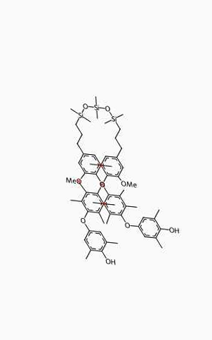 COc1cc(CCC[Si](C)(C)O[Si](C)(C)O[Si](C)(C)CCCc2cc(C)c(Oc3c(C)c(C)c(Oc4cc(C)c(O)c(C)c4)c(C)c3C)c(OC)c2)cc(C)c1Oc1c(C)c(C)c(Oc2cc(C)c(O)c(C)c2)c(C)c1C